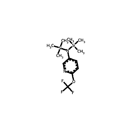 C[Si](C)(C)N(c1ccc(OC(F)(F)F)nc1)[Si](C)(C)C